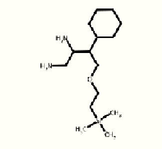 C[Si](C)(C)CCOCC(C(N)CN)C1CCCCC1